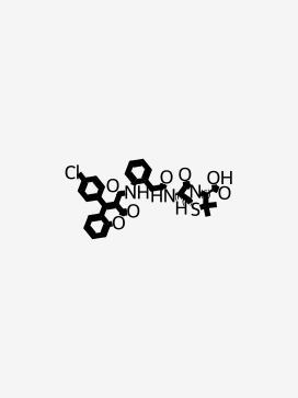 CC1(C)S[C@@H]2[C@H](NC(=O)Cc3ccccc3NC(=O)c3c(-c4ccc(Cl)cc4)c4ccccc4oc3=O)C(=O)N2[C@H]1C(=O)O